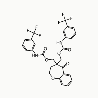 O=C(Nc1cccc(C(F)(F)F)c1)OCC1(COC(=O)Nc2cccc(C(F)(F)F)c2)CCOc2ccccc2C1=O